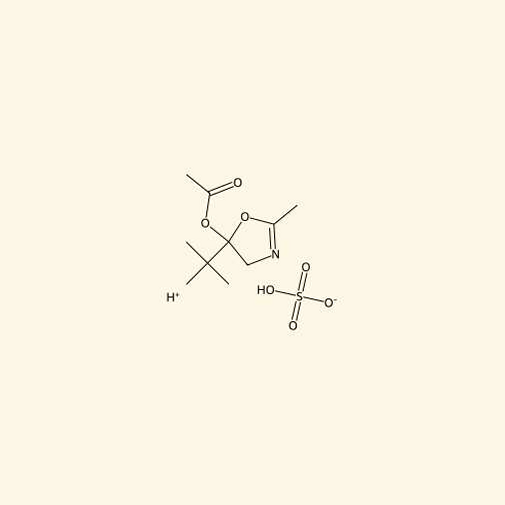 CC(=O)OC1(C(C)(C)C)CN=C(C)O1.O=S(=O)([O-])O.[H+]